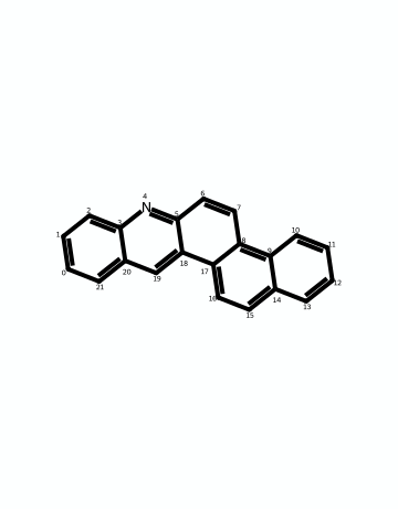 c1ccc2nc3ccc4c5ccccc5ccc4c3cc2c1